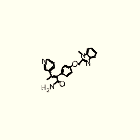 CC(=C(C(N)=O)c1ccc(OCc2nc3ccccc3n2C)cc1)c1cccnc1